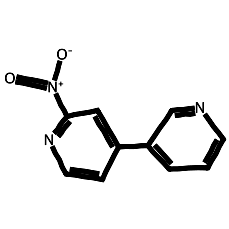 O=[N+]([O-])c1cc(-c2cccnc2)ccn1